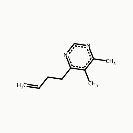 C=CCCc1ncnc(C)c1C